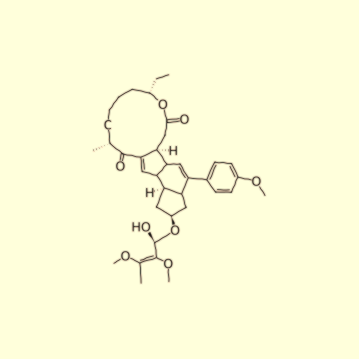 CC[C@H]1CCCC[C@@H](C)C(=O)C2=CC3C(C=C(c4ccc(OC)cc4)C4C[C@@H](O[C@H](O)/C(OC)=C(/C)OC)C[C@H]43)[C@@H]2CC(=O)O1